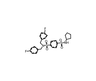 O=S(=O)(NC1CCCC1)c1ccc(S(=O)(=O)N(Cc2ccc(F)cc2)Cc2ccc(F)cc2)cc1